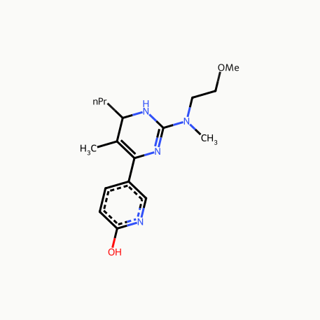 CCCC1NC(N(C)CCOC)=NC(c2ccc(O)nc2)=C1C